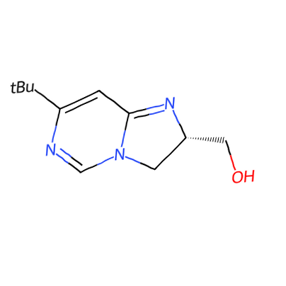 CC(C)(C)C1=CC2=N[C@H](CO)CN2C=N1